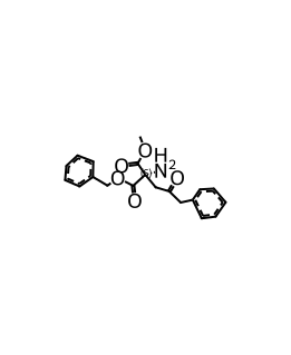 COC(=O)[C@@](N)(CC(=O)Cc1ccccc1)C(=O)OCc1ccccc1